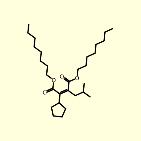 CCCCCCCCOC(=O)/C(CC(C)C)=C(\C(=O)OCCCCCCCC)C1CCCC1